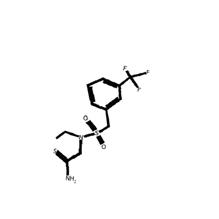 CCN(CC(N)=S)S(=O)(=O)Cc1cccc(C(F)(F)F)c1